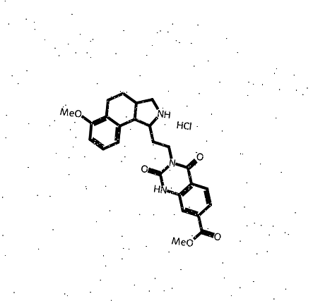 COC(=O)c1ccc2c(=O)n(CCC3NCC4CCc5c(OC)cccc5C43)c(=O)[nH]c2c1.Cl